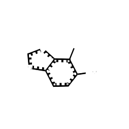 COc1ccc2ncsc2c1C(=O)O